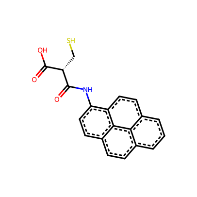 O=C(O)[C@H](CS)C(=O)Nc1ccc2ccc3cccc4ccc1c2c34